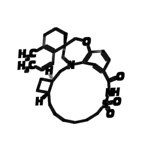 C/C=C\C1=C(C)CCC[C@]12COc1ccc3cc1N(C[C@@H]1CC[C@H]1CCCCCCS(=O)(=O)NC3=O)C2